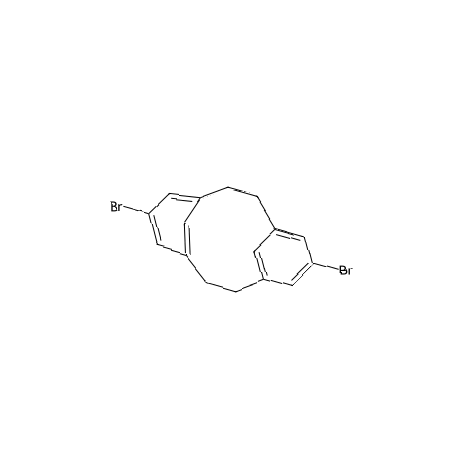 Brc1cc2cc(c1)CCc1cc(Br)cc(c1)CC2